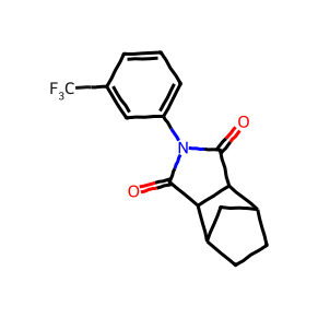 O=C1C2C3CCC(C3)C2C(=O)N1c1cccc(C(F)(F)F)c1